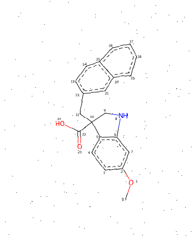 COc1ccc2c(c1)NCC2(Cc1ccc2ccccc2c1)C(=O)O